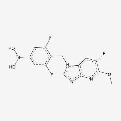 COc1nc2ncn(Cc3c(F)cc(B(O)O)cc3F)c2cc1F